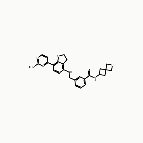 Nc1nccc(-c2cnc(NCc3cccc(C(=O)NC4CC5(COC5)C4)c3)c3c2OCC3)n1